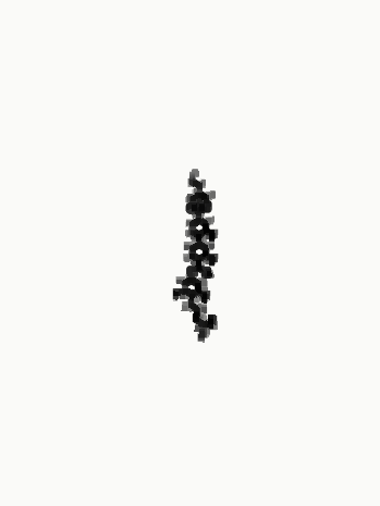 CCCC12COC(c3ccc(-c4ccc(C(=O)Oc5cc(F)c(C/C=C/C(F)F)c(F)c5)c(F)c4)c(F)c3)(OC1)OC2